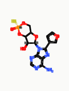 Nc1ncnc2c1nc(-c1ccoc1)n2[C@@H]1OC2CO[P@@](=O)(S)OC2[C@@H]1O